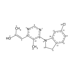 C/C(O)=C\c1ncnc(N2CCc3ccc(Cl)cc32)c1C